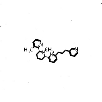 Cc1cccnc1[C@@H]1CCC[C@H](c2cccc(CCCc3cccnc3)n2)N1C